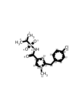 CC(C)S(=O)(=O)NC(=O)c1cn(C)c(Cc2ccc(Cl)cc2)n1